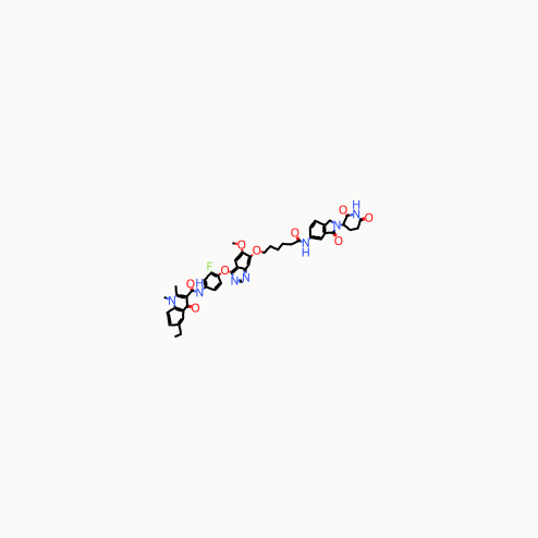 CCc1ccc2c(c1)c(=O)c(C(=O)Nc1ccc(Oc3ncnc4cc(OCCCCCC(=O)Nc5ccc6c(c5)C(=O)N(C5CCC(=O)NC5=O)C6)c(OC)cc34)c(F)c1)c(C)n2C